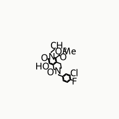 C=CCn1c(C(=O)OC)c2c(c(O)c1=O)C(=O)N(Cc1ccc(F)c(Cl)c1)CC2